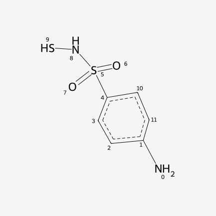 Nc1ccc(S(=O)(=O)NS)cc1